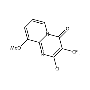 COc1cccn2c(=O)c(C(F)(F)F)c(Cl)nc12